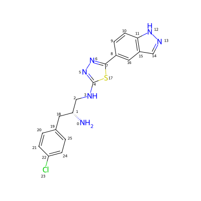 N[C@@H](CNc1nnc(-c2ccc3[nH]ncc3c2)s1)Cc1ccc(Cl)cc1